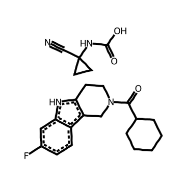 N#CC1(NC(=O)O)CC1.O=C(C1CCCCC1)N1CCc2[nH]c3cc(F)ccc3c2C1